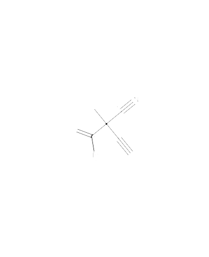 C#CC(C)(C#N)C(=O)Br